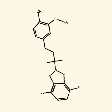 CC(C)Oc1cc(CCC(C)(C)N2Cc3c(F)ccc(F)c3C2)ccc1O